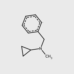 CN(Cc1[c]cccc1)C1CC1